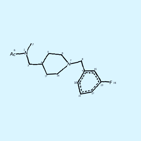 CC(=O)N(C)CC1CCN(Cc2cccc(F)c2)CC1